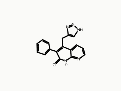 O=c1[nH]c2ncccc2c(Cc2c[nH]nn2)c1-c1ccccc1